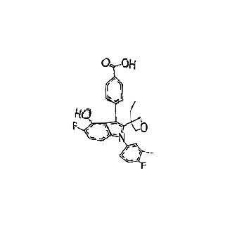 CCC1(c2c(-c3ccc(C(=O)O)cc3)c3c(O)c(F)ccc3n2-c2ccc(F)c(C)c2)COC1